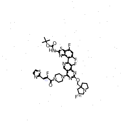 CC(C)(C)OC(=O)Nc1nc2c(-c3ncc4c(N5CCN(C(=O)/C(F)=C/c6nccs6)CC5)nc(OC[C@@]56CCCN5C[C@H](F)C6)nc4c3F)c(F)cc(F)c2s1